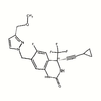 COCc1ccn(Cc2cc3c(cc2F)[C@@](C#CC2CC2)(C(F)(F)F)NC(=O)N3)n1